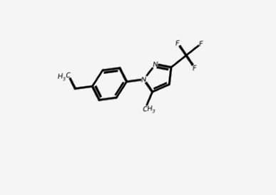 CCc1ccc(-n2nc(C(F)(F)F)cc2C)cc1